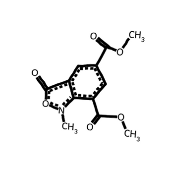 COC(=O)c1cc(C(=O)OC)c2c(c1)c(=O)on2C